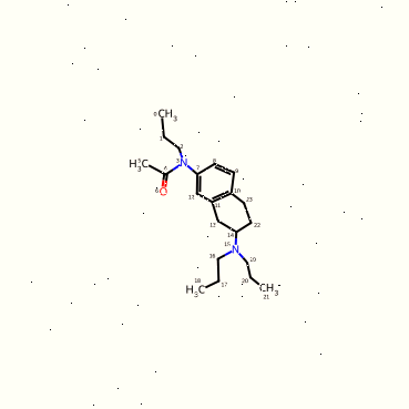 CCCN(C(C)=O)c1ccc2c(c1)CC(N(CCC)CCC)CC2